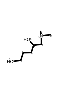 CN(C)CC(O)CCCO